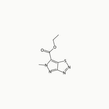 CCOC(=O)c1c2snnc2nn1C